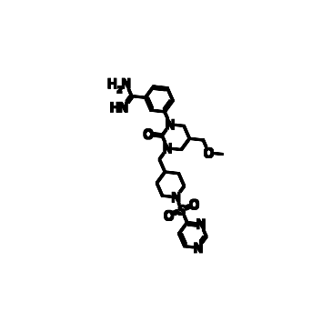 COCC1CN(CC2CCN(S(=O)(=O)c3ccncn3)CC2)C(=O)N(c2cccc(C(=N)N)c2)C1